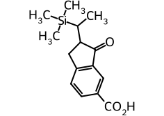 CC(C1Cc2ccc(C(=O)O)cc2C1=O)[Si](C)(C)C